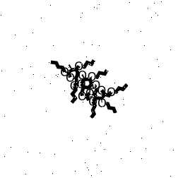 CCCCOCC1O[C@@H](OCCCC)[C@@H](C)C(OCCCC)[C@@H]1O[C@@H]1OC2COC(C)O[C@H]2C(O[C@@H]2OC(COCCCC)[C@H](OCCCC)C(OCCCC)[C@@H]2C)[C@H]1OCCCC